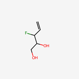 C=CC(F)C(O)CO